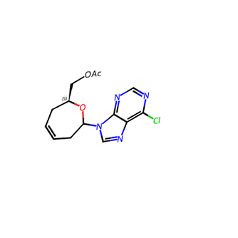 CC(=O)OC[C@@H]1CC=CCC(n2cnc3c(Cl)ncnc32)O1